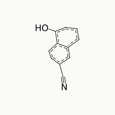 N#Cc1ccc2c(O)cccc2c1